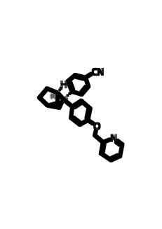 N#Cc1ccc([C@]2(c3ccc(OCc4ccccn4)cc3)CC3CC[C@@H]2C3)cc1